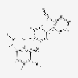 Bc1c(C)nc(SCC)n(Cc2ccc(-c3ccccc3C#N)cc2)c1=O